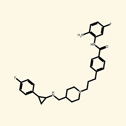 Nc1ccc(F)cc1NC(=O)c1ccc(CCCN2CCC(CNC3CC3c3ccc(F)cc3)CC2)cc1